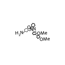 COc1ccc(-c2ccc(-c3nc4ccccc4c(=O)n3CC3CCCC(CN)C3)s2)c(OC)c1